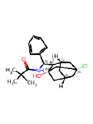 CC(C)(C)C(=O)N[C@@H](c1ccccc1)[C@H]1[C@H]2C[C@@H]3C[C@](Cl)(C2)C[C@@]1(O)C3